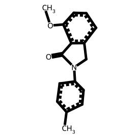 COc1cccc2c1C(=O)N(c1ccc(C)cc1)C2